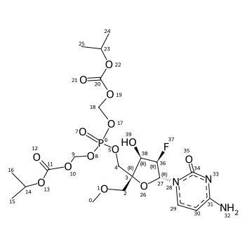 COC[C@]1(COP(=O)(OCOC(=O)OC(C)C)OCOC(=O)OC(C)C)O[C@@H](n2ccc(N)nc2=O)[C@H](F)[C@@H]1O